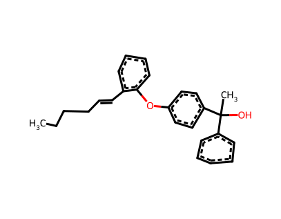 CCCC/C=C/c1ccccc1Oc1ccc(C(C)(O)c2ccccc2)cc1